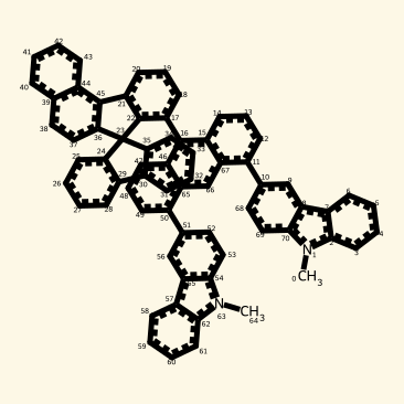 Cn1c2ccccc2c2cc(-c3cccc4c(-c5cccc6c5C5(c7ccccc7-c7ccccc75)c5ccc7ccccc7c5-6)c5cccc(-c6ccc7c(c6)c6ccccc6n7C)c5cc34)ccc21